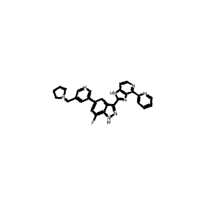 Fc1cc(-c2cncc(CN3CCCC3)c2)cc2c(-c3nc4c(-c5ccccn5)nccc4[nH]3)n[nH]c12